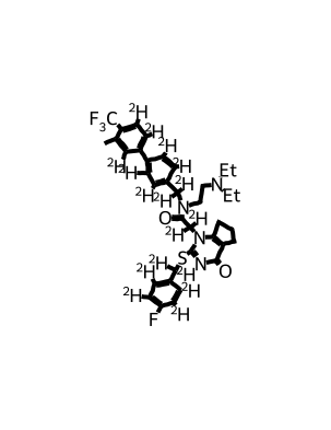 [2H]c1c([2H])c(C([2H])([2H])Sc2nc(=O)c3c(n2C([2H])([2H])C(=O)N(CCN(CC)CC)C([2H])([2H])c2c([2H])c([2H])c(-c4c([2H])c([2H])c(C(F)(F)F)c(C)c4[2H])c([2H])c2[2H])CCC3)c([2H])c([2H])c1F